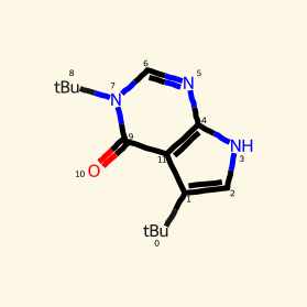 CC(C)(C)c1c[nH]c2ncn(C(C)(C)C)c(=O)c12